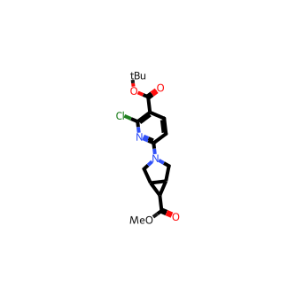 COC(=O)C1C2CN(c3ccc(C(=O)OC(C)(C)C)c(Cl)n3)CC21